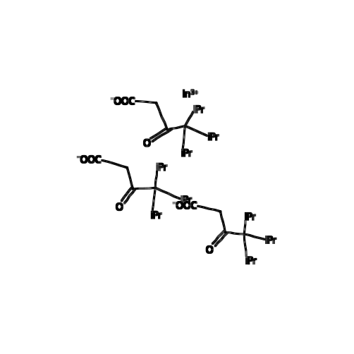 CC(C)C(C(=O)CC(=O)[O-])(C(C)C)C(C)C.CC(C)C(C(=O)CC(=O)[O-])(C(C)C)C(C)C.CC(C)C(C(=O)CC(=O)[O-])(C(C)C)C(C)C.[In+3]